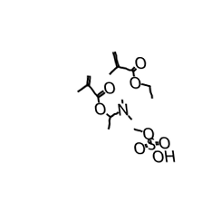 C=C(C)C(=O)OC(C)N(C)C.C=C(C)C(=O)OCC.COS(=O)(=O)O